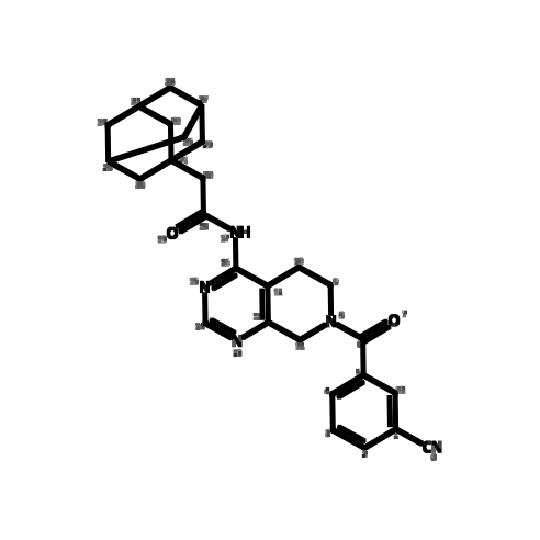 N#Cc1cccc(C(=O)N2CCc3c(ncnc3NC(=O)CC34CC5CC(CC(C5)C3)C4)C2)c1